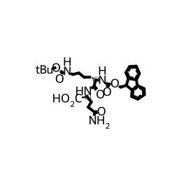 CC(C)(C)OC(=O)NCCCC[C@H](NC(=O)OCC1c2ccccc2-c2ccccc21)C(=O)N[C@@H](CCC(N)=O)C(=O)O